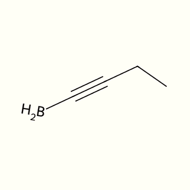 BC#CCC